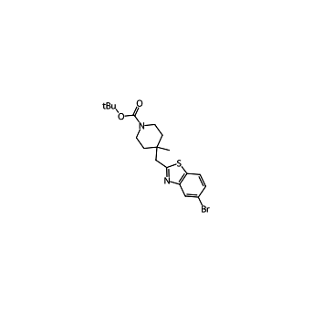 CC1(Cc2nc3cc(Br)ccc3s2)CCN(C(=O)OC(C)(C)C)CC1